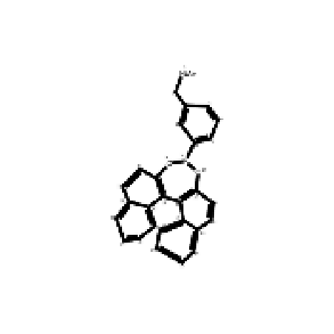 CNCc1cccc(-p2oc3ccc4ccccc4c3c3c(ccc4ccccc43)o2)c1